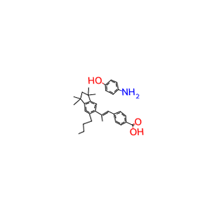 CCCCc1cc2c(cc1/C(C)=C/c1ccc(C(=O)O)cc1)C(C)(C)CC2(C)C.Nc1ccc(O)cc1